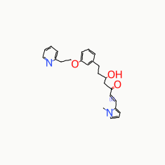 Cn1cccc1/C=C/C(=O)CC(O)CCc1cccc(OCCc2ccccn2)c1